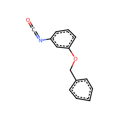 O=C=Nc1cccc(OCc2ccccc2)c1